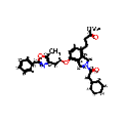 COC(=O)CCc1ccc(OCCc2nc(-c3ccccc3)oc2C)c2c1CN(C(=O)CC1CCCCC1)C2